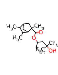 CC(C)CC(CC(O)(C(F)(F)F)C(F)(F)F)OC(=O)C1(C)CC2CC1C(C)C2C